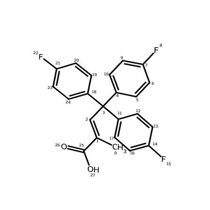 CC(=CC(c1ccc(F)cc1)(c1ccc(F)cc1)c1ccc(F)cc1)C(=O)O